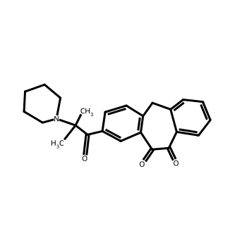 CC(C)(C(=O)c1ccc2c(c1)C(=O)C(=O)c1ccccc1C2)N1CCCCC1